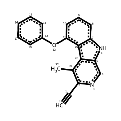 C#Cc1ncc2[nH]c3cccc(Oc4ccccc4)c3c2c1C